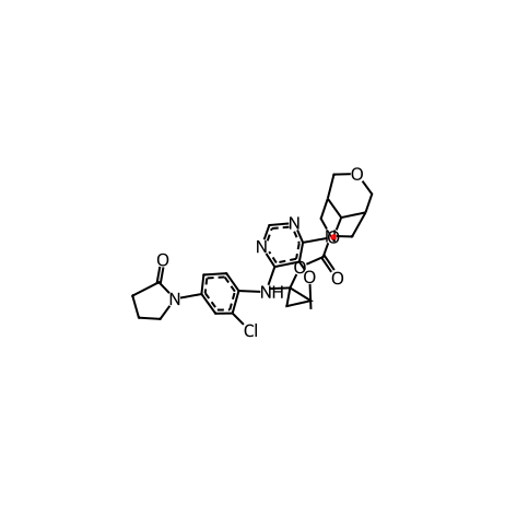 COc1c(Nc2ccc(N3CCCC3=O)cc2Cl)ncnc1OC1C2COCC1CN(C(=O)OC1(C)CC1)C2